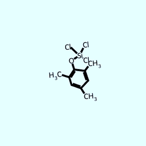 Cc1cc(C)c(O[Si](Cl)(Cl)Cl)c(C)c1